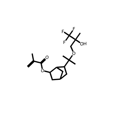 C=C(C)C(=O)OC1CC2CC1C(C(C)(C)OCC(C)(O)C(F)(F)F)C2